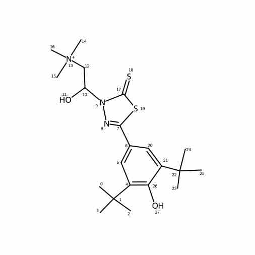 CC(C)(C)c1cc(-c2nn(C(O)C[N+](C)(C)C)c(=S)s2)cc(C(C)(C)C)c1O